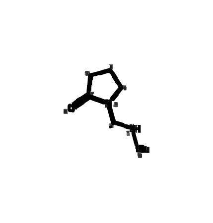 CC(C)(C)NCN1CCCC1=O